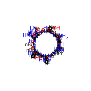 CCCC[C@H]1C(=O)N(C)[C@@H](CCCC)C(=O)N[C@@H](CCCNC(=N)N)C(=O)N[C@H](C(=O)NCC(N)=O)CSCC(=O)N[C@@H](Cc2ccc(CO)cc2)C(=O)N(C)[C@@H](C)C(=O)N[C@H]2CC(N)=C3CC[C@@H](C(=O)N[C@@H](Cc4cnc[nH]4)C(=O)N[C@@H](CC(C)C)CN(C)CC(=O)N[C@@H](Cc4c[nH]c5ccccc45)C(=O)N[C@@H](CO)C(=O)N[C@@H](Cc4c[nH]c5ccccc45)C(=O)N1C)N3C2=O